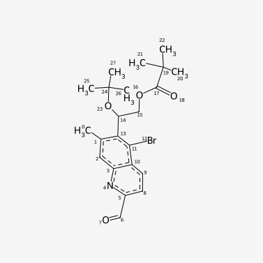 Cc1cc2nc(C=O)ccc2c(Br)c1C(COC(=O)C(C)(C)C)OC(C)(C)C